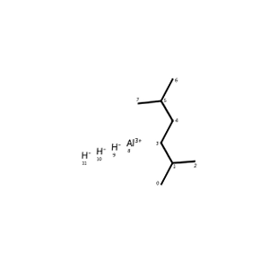 CC(C)CCC(C)C.[Al+3].[H-].[H-].[H-]